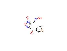 O=C(c1ccsc1)c1no[n+]([O-])c1C=NO